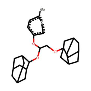 CCC(C)c1ccc(OC(COC23CC4CC(CC(C4)C2)C3)OC2C3CC4CC(C3)CC2C4)cc1